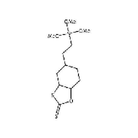 CO[Si](CCC1CCC2OC(=S)SC2C1)(OC)OC